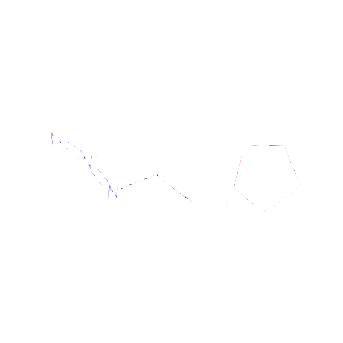 [N-]=[N+]=NCC[C@H]1CCCO1